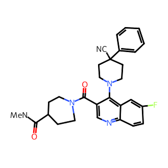 CNC(=O)C1CCN(C(=O)c2cnc3ccc(F)cc3c2N2CCC(C#N)(c3ccccc3)CC2)CC1